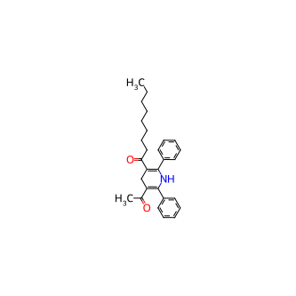 CCCCCCCCC(=O)C1=C(c2ccccc2)NC(c2ccccc2)=C(C(C)=O)C1